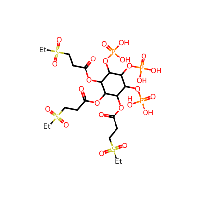 CCS(=O)(=O)CCC(=O)OC1C(OC(=O)CCS(=O)(=O)CC)C(OP(=O)(O)O)C(OP(=O)(O)O)C(OP(=O)(O)O)C1OC(=O)CCS(=O)(=O)CC